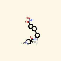 CC(C)N1CCC(C)(C(=O)Nc2cccc(C3CCc4cc(C(=O)NO)ccc4C3)c2)CC1